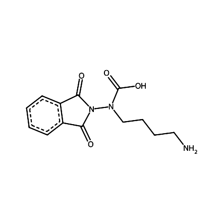 NCCCCN(C(=O)O)N1C(=O)c2ccccc2C1=O